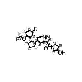 O=C(c1cnn2ccc(N3CCC[C@@H]3c3cc(F)ccc3OC(F)F)cc12)N1CC[C@H](O)C1